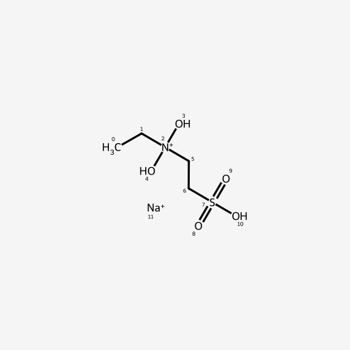 CC[N+](O)(O)CCS(=O)(=O)O.[Na+]